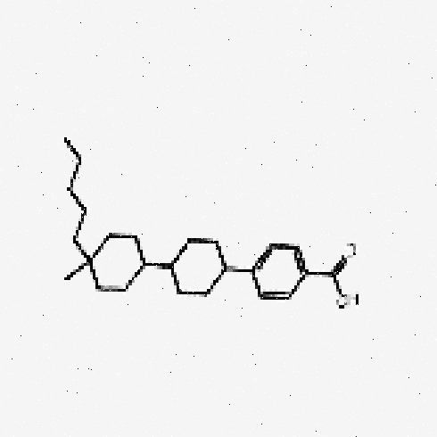 CCCCCC1(C)CCC(C2CCC(c3ccc(C(=O)O)cc3)CC2)CC1